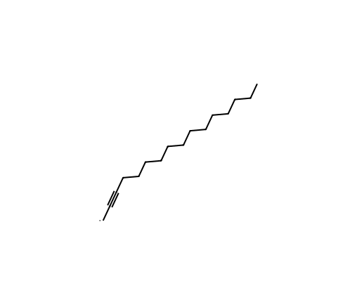 [CH2]C#CCCCCCCCCCCCCC